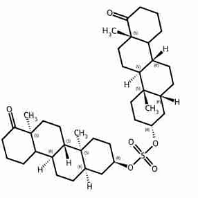 C[C@]12CC[C@@H](OS(=O)(=O)O[C@@H]3CC[C@@]4(C)[C@H](CC[C@H]5C6CCCC(=O)[C@@]6(C)CC[C@@H]54)C3)C[C@H]1CC[C@H]1C3CCCC(=O)[C@@]3(C)CC[C@@H]12